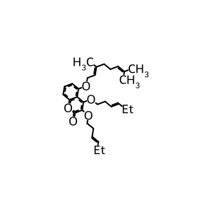 CCC=CCCOc1c(OCCC=CCC)c2c(OC/C=C(\C)CCC=C(C)C)cccc2oc1=O